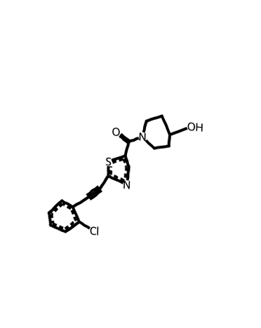 O=C(c1cnc(C#Cc2ccccc2Cl)s1)N1CCC(O)CC1